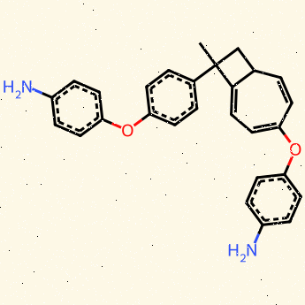 CC1(c2ccc(Oc3ccc(N)cc3)cc2)CC2C=CC(Oc3ccc(N)cc3)=CC=C21